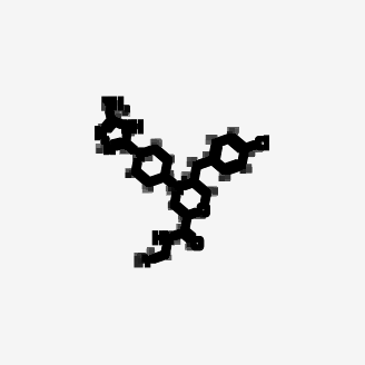 CC(C)CNC(=O)C1CN(C2CCN(c3nnc(N)[nH]3)CC2)C(Cc2ccc(Cl)cc2)CO1